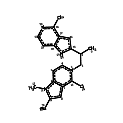 CC(C[n+]1ccc2c(cc(C(C)(C)C)n2C)c1Cl)c1cc2c(Cl)nccc2[nH]1